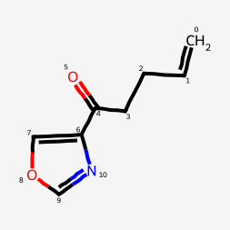 C=CCCC(=O)c1cocn1